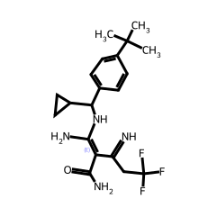 CC(C)(C)c1ccc(C(N/C(N)=C(\C(=N)CC(F)(F)F)C(N)=O)C2CC2)cc1